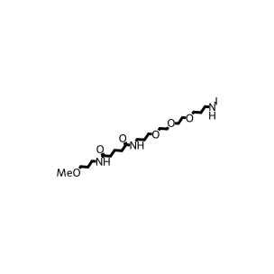 COCCCNC(=O)CCCC(=O)NCCCOCCOCCOCCCNI